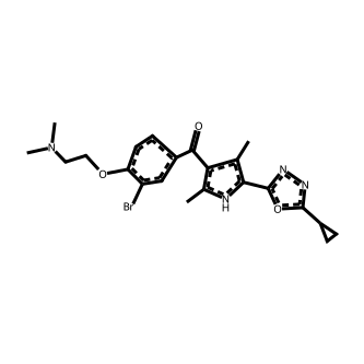 Cc1[nH]c(-c2nnc(C3CC3)o2)c(C)c1C(=O)c1ccc(OCCN(C)C)c(Br)c1